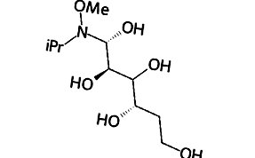 CON(C(C)C)[C@H](O)[C@H](O)C(O)[C@@H](O)CCO